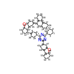 c1ccc(-c2nc(-c3ccc(-c4cccc5oc6ccc(-c7cc8ccccc8c8ccccc78)cc6c45)cc3)nc(-c3ccc4c(c3)oc3ccccc34)n2)cc1